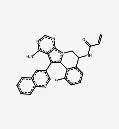 C=CC(=O)NC1Cn2c(c(-c3cnc4ccccc4c3)c3c(N)ncnc32)-c2c(F)cccc21